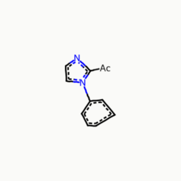 CC(=O)c1nccn1-c1ccccc1